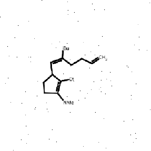 C=CCC/C(=C\C1CCC(NC)=C1CC)C(C)CC